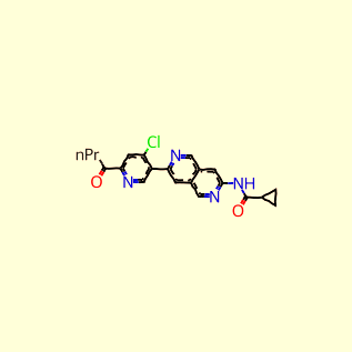 CCCC(=O)c1cc(Cl)c(-c2cc3cnc(NC(=O)C4CC4)cc3cn2)cn1